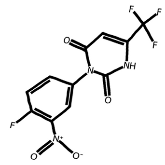 O=c1cc(C(F)(F)F)[nH]c(=O)n1-c1ccc(F)c([N+](=O)[O-])c1